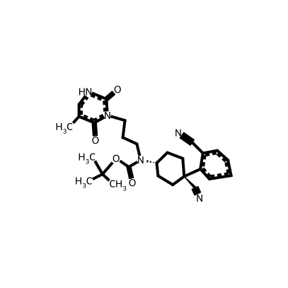 Cc1c[nH]c(=O)n(CCCN(C(=O)OC(C)(C)C)[C@H]2CC[C@@](C#N)(c3ccccc3C#N)CC2)c1=O